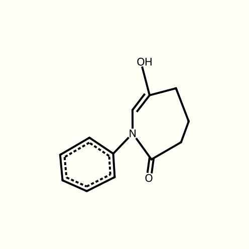 O=C1CCCC(O)=CN1c1ccccc1